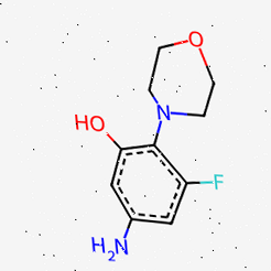 Nc1cc(O)c(N2CCOCC2)c(F)c1